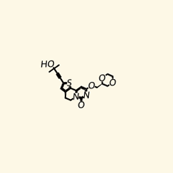 CC(C)(O)C#Cc1cc2c(s1)-c1cc(OC[C@@H]3COCCO3)nc(=O)n1CC2